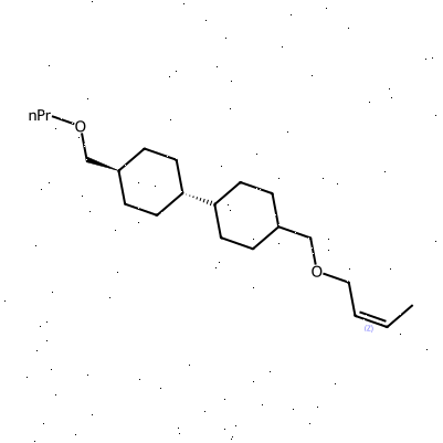 C/C=C\COCC1CCC([C@H]2CC[C@H](COCCC)CC2)CC1